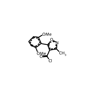 COc1cccc(OC)c1-c1onc(C)c1C(=O)Cl